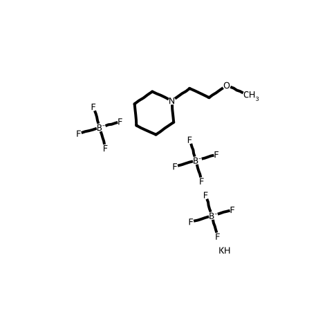 COCCN1CCCCC1.F[B-](F)(F)F.F[B-](F)(F)F.F[B-](F)(F)F.[KH]